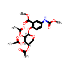 CCCC(=O)O[C@H]1[C@@H](Oc2ccc(NC(=O)OC(C)(C)C)cc2C(=O)OC(C)(C)C)OC[C@@H](OC(=O)CCC)[C@H]1OC(=O)CCC